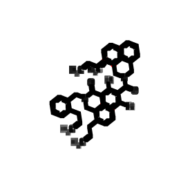 C=CCc1ccccc1CN(Cc1ccccc1CC=C)C(=O)c1ccc(CC)c(C(=O)N(Cc2ccccc2CC=C)Cc2ccccc2CC=C)c1CC